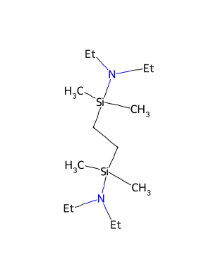 CCN(CC)[Si](C)(C)CC[Si](C)(C)N(CC)CC